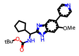 COc1cc2[nH]c(C(NC(=O)OC(C)(C)C)C3CCCC3)nc2cc1-c1ccncc1